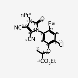 CCCn1c(C#N)c(C#N)n(-c2cc(OC(C)C(=O)OCC)c(Cl)cc2F)c1=O